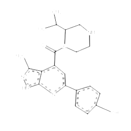 Cc1n[nH]c2nc(-c3ccc(O)cc3)cc(C(=O)N3CCNCC3C(C)C)c12